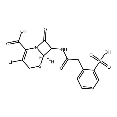 O=C(Cc1ccccc1S(=O)(=O)O)NC1C(=O)N2C(C(=O)O)=C(Cl)CS[C@H]12